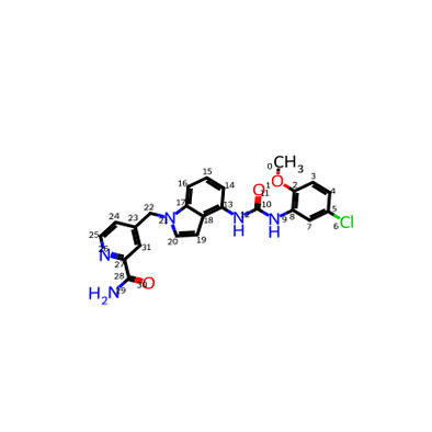 COc1ccc(Cl)cc1NC(=O)Nc1cccc2c1ccn2Cc1ccnc(C(N)=O)c1